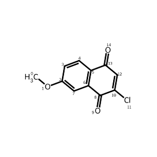 COc1ccc2c(c1)C(=O)C(Cl)=CC2=O